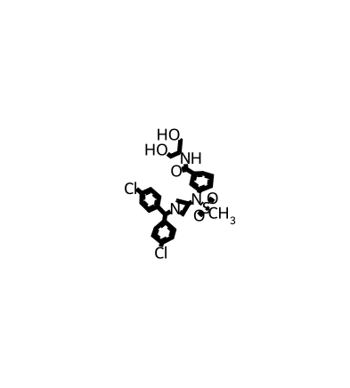 CS(=O)(=O)N(c1cccc(C(=O)NC(CO)CO)c1)C1CN(C(c2ccc(Cl)cc2)c2ccc(Cl)cc2)C1